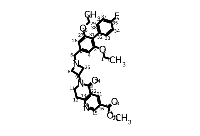 CCOc1cc(CN2CC(N3CCc4ncc(C(=O)OC)cc4C3=O)C2)cc(OCC)c1-c1ccc(F)cc1